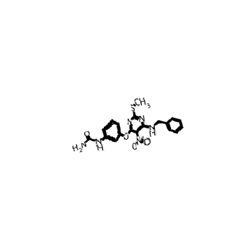 CSc1nc(NCc2ccccc2)c([N+](=O)[O-])c(Oc2cccc(NC(N)=O)c2)n1